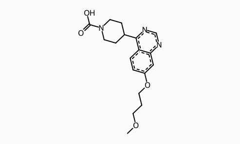 COCCCOc1ccc2c(C3CCN(C(=O)O)CC3)ncnc2c1